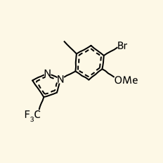 COc1cc(-n2cc(C(F)(F)F)cn2)c(C)cc1Br